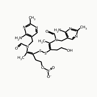 CC(=C(CCO)SSC(CCO[N+](=O)[O-])=C(C)N(C=O)Cc1cnc(C)nc1N)N(C=O)Cc1cnc(C)nc1N